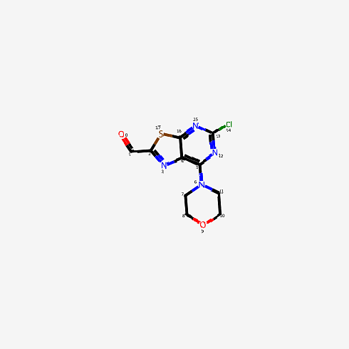 O=Cc1nc2c(N3CCOCC3)nc(Cl)nc2s1